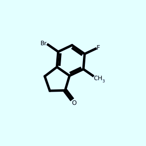 Cc1c(F)cc(Br)c2c1C(=O)CC2